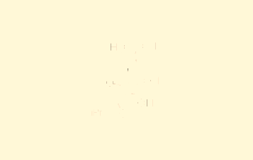 CC(C)=CC[C@@H]1C(=O)C(C(=O)CC(C)C)=C(O)C1O